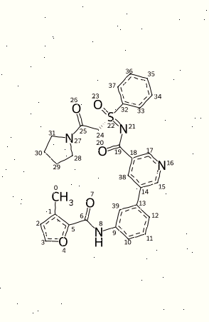 Cc1ccoc1C(=O)Nc1cccc(-c2cncc(C(=O)N=[S@](=O)(CC(=O)N3CCCC3)c3ccccc3)c2)c1